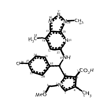 COCn1cc(C)c(C(=O)O)c1C(Nc1cc(C)c2nnn(C)c2n1)c1ccc(Cl)cc1